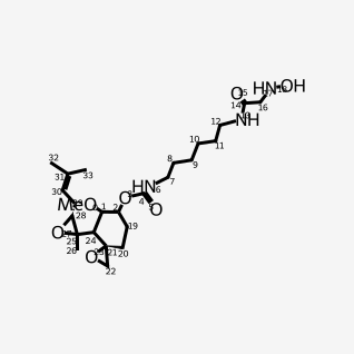 COC1C(OC(=O)NCCCCCCNC(=O)CNO)CC[C@]2(CO2)C1C1(C)O[C@@H]1CC=C(C)C